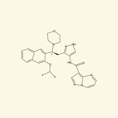 O=C(Nc1c[nH]nc1C[C@@H](c1cc2ccccc2cc1OC(F)F)N1CCOCC1)c1cnn2cccnc12